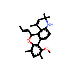 CC=CC1Oc2c(C)cc(C)c(OC)c2-c2ccc3c(c21)C(C)=CC(C)(C)N3